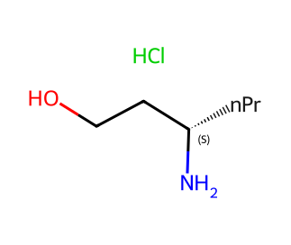 CCC[C@H](N)CCO.Cl